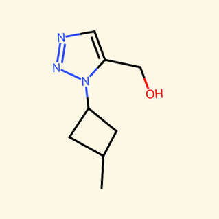 CC1CC(n2nncc2CO)C1